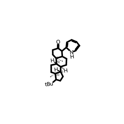 CC(C)(C)C1CC[C@H]2[C@@H]3CCC4C(C5=CC=CC=CN5)C(=O)CC[C@]4(C)[C@H]3CC[C@]12C